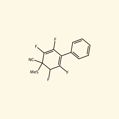 CSC1(C#N)C(F)=C(F)C(c2ccccc2)=C(F)C1F